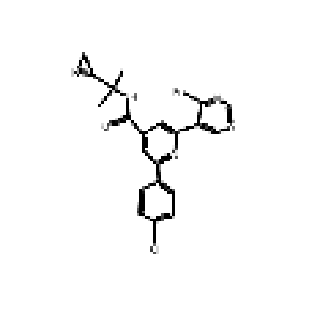 CC(C)c1ncncc1-c1cc(C(=O)NC(C)(C)C2=NC2)cc(-c2ccc(Cl)cc2)n1